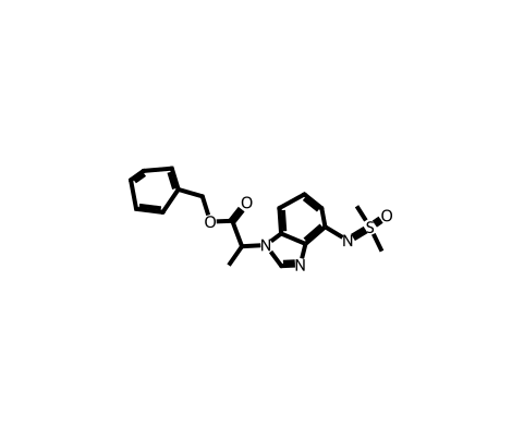 CC(C(=O)OCc1ccccc1)n1cnc2c(N=S(C)(C)=O)cccc21